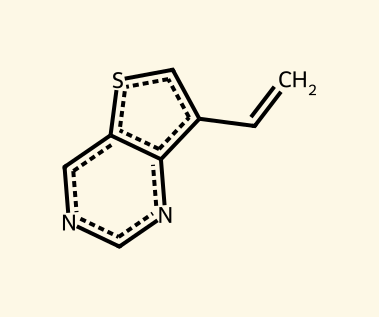 C=Cc1csc2cncnc12